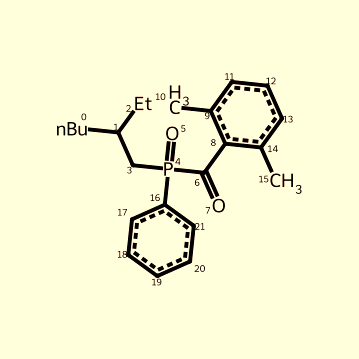 CCCCC(CC)CP(=O)(C(=O)c1c(C)cccc1C)c1ccccc1